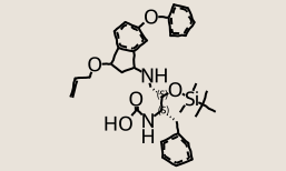 C=CCOC1CC(NC[C@H](O[Si](C)(C)C(C)(C)C)[C@H](Cc2ccccc2)NC(=O)O)c2cc(Oc3ccccc3)ccc21